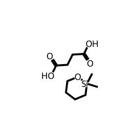 C[Si]1(C)CCCCO1.O=C(O)CCC(=O)O